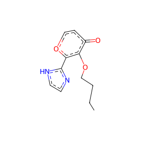 CCCCOc1c(-c2ncc[nH]2)occc1=O